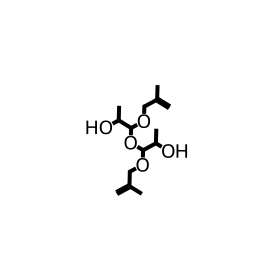 C=C(C)COC(OC(OCC(=C)C)C(C)O)C(C)O